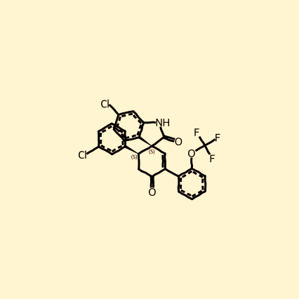 O=C1C[C@@H](c2cccc(Cl)c2)[C@@]2(C=C1c1ccccc1OC(F)(F)F)C(=O)Nc1cc(Cl)ccc12